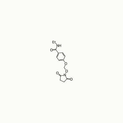 CCNC(=O)c1ccc(OCON2C(=O)CCC2=O)cc1